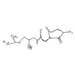 CC1CC(=O)N(CC(=O)NCC(O)CON(C)C)C1=O